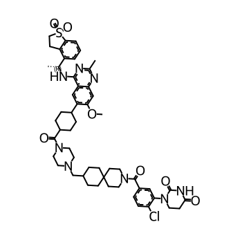 COc1cc2nc(C)nc(N[C@H](C)c3cccc4c3CCS4(=O)=O)c2cc1C1CCC(C(=O)N2CCN(CC3CCC4(CC3)CCN(C(=O)c3ccc(Cl)c(N5CCC(=O)NC5=O)c3)CC4)CC2)CC1